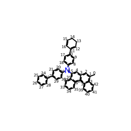 Cc1cc2cc(N(c3ccc(C4=CCCC=C4)cc3)c3ccc(-c4ccccc4)cc3)c3ccccc3c2c2ccccc12